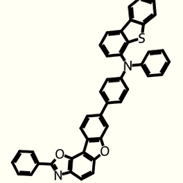 c1ccc(-c2nc3ccc4oc5cc(-c6ccc(N(c7ccccc7)c7cccc8c7sc7ccccc78)cc6)ccc5c4c3o2)cc1